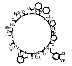 CC[C@H](C)[C@@H]1NC(=O)[C@H](CC(C)C)N(C)C(=O)C[C@@H](C(=O)N2CCCCC2)N(C)C(=O)[C@H](C2CCCCC2)N(C)C(=O)C2(CCCC2)NC(=O)[C@@H]2CCCN2C(=O)[C@H](CCc2ccc(C(F)(F)F)c(Cl)c2)NC(=O)CN(C)C(=O)[C@H](CC2CCCCC2)N(C)C(=O)CN(C)C(=O)CN(CC)C1=O